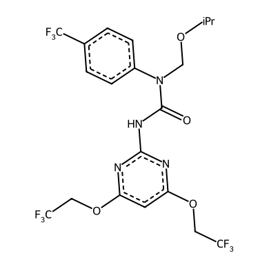 CC(C)OCN(C(=O)Nc1nc(OCC(F)(F)F)cc(OCC(F)(F)F)n1)c1ccc(C(F)(F)F)cc1